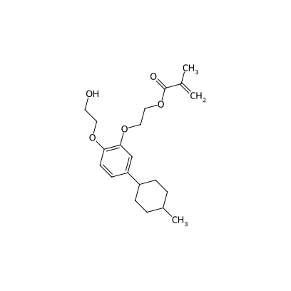 C=C(C)C(=O)OCCOc1cc(C2CCC(C)CC2)ccc1OCCO